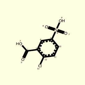 O=C(O)c1cc(S(=O)(=O)O)ccc1Cl